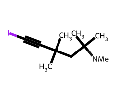 CNC(C)(C)CC(C)(C)C#CI